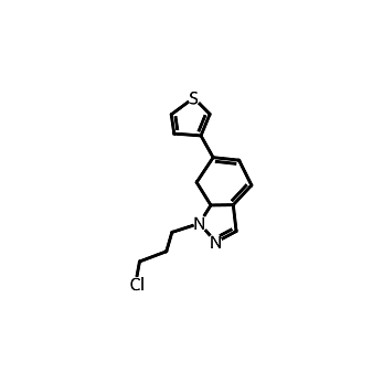 ClCCCN1N=CC2=CC=C(c3ccsc3)CC21